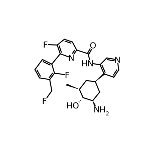 C[C@H]1C[C@@H](c2ccncc2NC(=O)c2ccc(F)c(-c3cccc(CF)c3F)n2)C[C@@H](N)[C@@H]1O